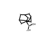 OB(O)C12CC3CC(CC(C3)C1)C2